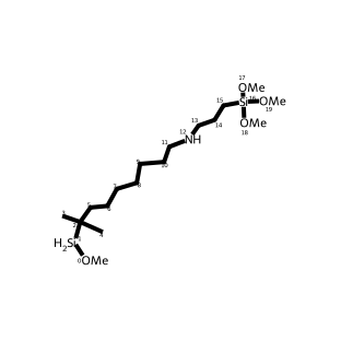 CO[SiH2]C(C)(C)CCCCCCCNCCC[Si](OC)(OC)OC